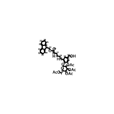 CC(=O)OC[C@H]1O[C@@H](Oc2ccc(CO)cc2NCCCNC(=O)OCC2c3ccccc3-c3ccccc32)[C@H](OC(C)=O)[C@@H](OC(C)=O)[C@H]1OC(C)=O